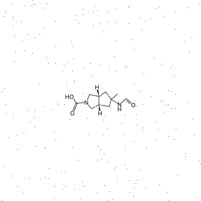 CC1(NC=O)C[C@H]2CN(C(=O)O)C[C@H]2C1